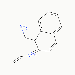 C=C/N=C1/C=Cc2ccccc2C1CN